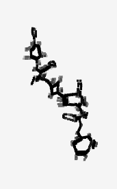 O=C(CCc1cccnc1)Nc1cc(C2CC(NC(=O)Cc3ccc(Cl)cc3)C2)[nH]n1